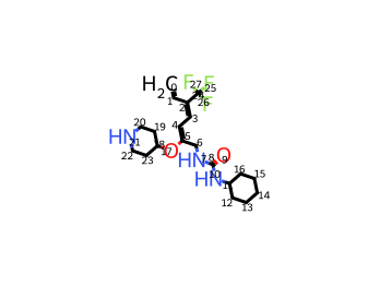 C=C/C(=C\C=C(/CNC(=O)NC1CCCCC1)OC1CCNCC1)C(F)(F)F